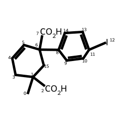 CC1(C(=O)O)CC=CC(C(=O)O)(c2ccc(I)cc2)C1